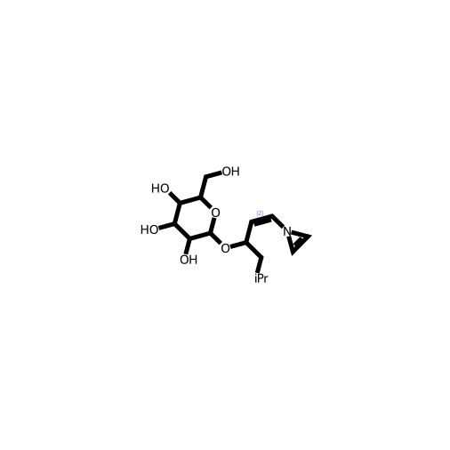 CC(C)CC(/C=C\N1C=C1)OC1OC(CO)C(O)C(O)C1O